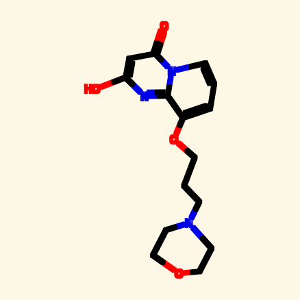 O=c1cc(O)nc2c(OCCCN3CCOCC3)cccn12